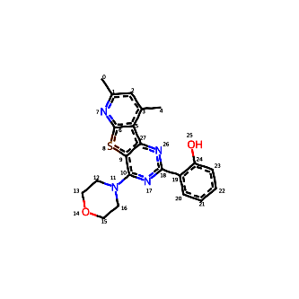 Cc1cc(C)c2c(n1)sc1c(N3CCOCC3)nc(-c3ccccc3O)nc12